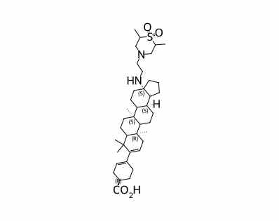 CC1CN(CCN[C@]23CCCC2[C@H]2CCC4[C@@](C)(CCC5C(C)(C)C(C6=CC[C@H](C(=O)O)CC6)=CC[C@@]54C)C2CC3)CC(C)S1(=O)=O